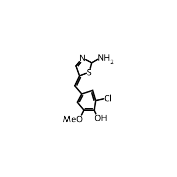 COc1cc(/C=C2/C=NC(N)S2)cc(Cl)c1O